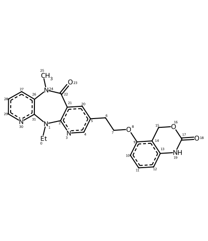 CCN1c2ncc(CCOc3cccc4c3COC(=O)N4)cc2C(=O)N(C)c2cccnc21